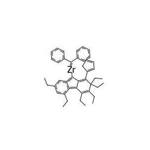 CCC1=C(CC)C(CC)(CC)C(C2=CC=CC2)=C2[C]([Zr]=[C](c3ccccc3)c3ccccc3)=c3cc(CC)cc(CC)c3=C12